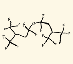 FC(F)(CC(C(F)(F)F)C(F)(F)F)OC(F)(F)CC(C(F)(F)F)C(F)(F)F